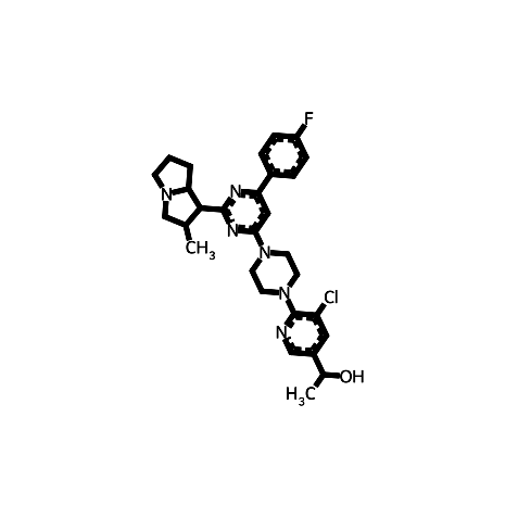 CC(O)c1cnc(N2CCN(c3cc(-c4ccc(F)cc4)nc(C4C(C)CN5CCCC45)n3)CC2)c(Cl)c1